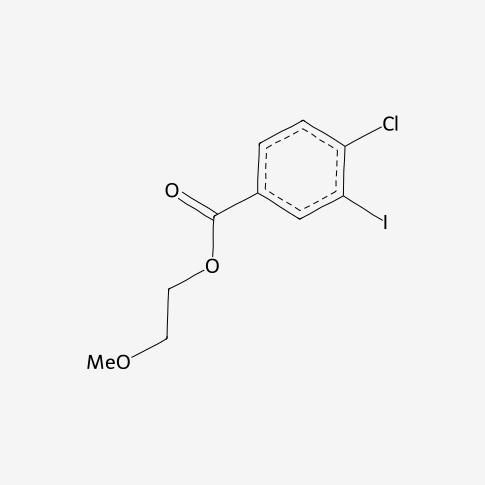 COCCOC(=O)c1ccc(Cl)c(I)c1